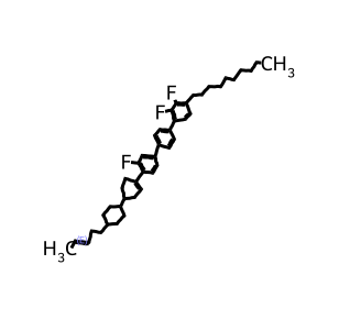 C/C=C/CCC1CCC(C2CC=C(c3ccc(-c4ccc(-c5ccc(CCCCCCCCCC)c(F)c5F)cc4)cc3F)CC2)CC1